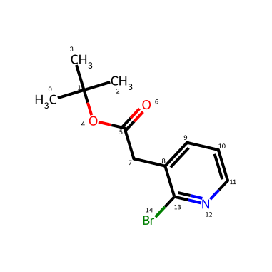 CC(C)(C)OC(=O)Cc1cccnc1Br